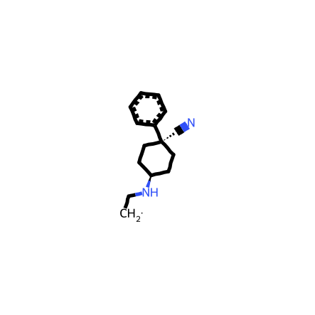 [CH2]CN[C@H]1CC[C@@](C#N)(c2ccccc2)CC1